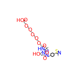 Cc1ncsc1-c1ccc(CNC(=O)C2C[C@@H](O)CN2C(=O)[C@@H](NC(=O)CCOCCOCCOCCOCCOCCC(=O)O)C(C)(C)C)cc1